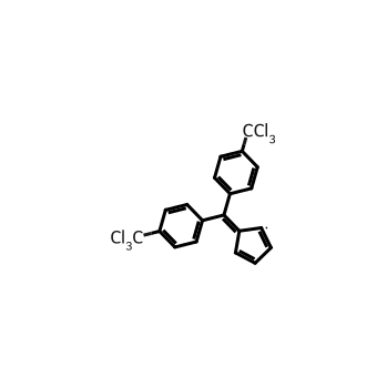 ClC(Cl)(Cl)c1ccc(C(=C2[C]=CC=C2)c2ccc(C(Cl)(Cl)Cl)cc2)cc1